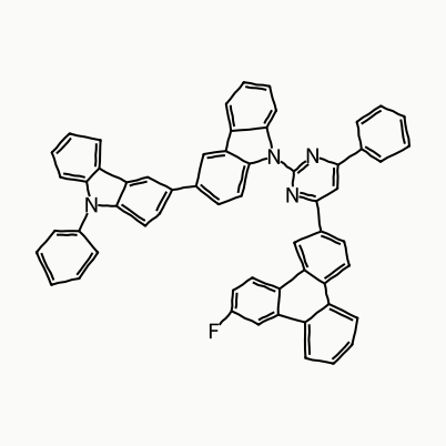 Fc1ccc2c(c1)c1ccccc1c1ccc(-c3cc(-c4ccccc4)nc(-n4c5ccccc5c5cc(-c6ccc7c(c6)c6ccccc6n7-c6ccccc6)ccc54)n3)cc12